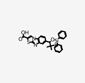 CC(C)(C)C(O[SiH](c1ccccc1)c1ccccc1)c1ccc2c(c1)nc1sc(C(=O)O)cn12